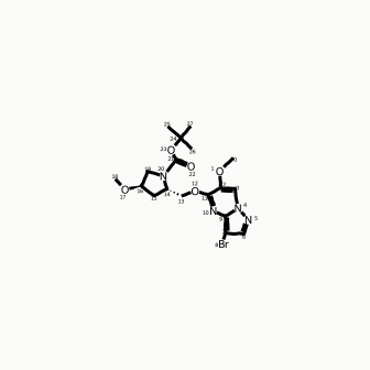 COc1cn2ncc(Br)c2nc1OC[C@@H]1C[C@@H](OC)CN1C(=O)OC(C)(C)C